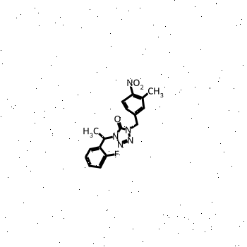 Cc1cc(Cn2nnn(C(C)c3ccccc3F)c2=O)ccc1[N+](=O)[O-]